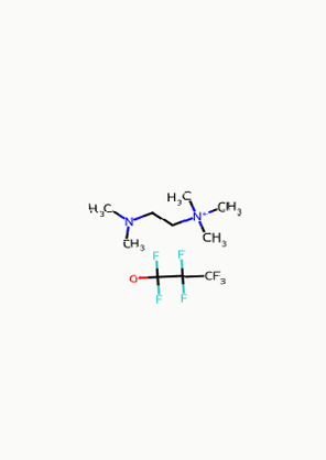 CN(C)CC[N+](C)(C)C.[O-]C(F)(F)C(F)(F)C(F)(F)F